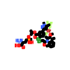 CC(C)OC(=O)c1cc(-c2nn(C)c(C(F)(F)F)c2Br)c(F)cc1Cl.CCc1cccc(C)c1N(C(=O)CCl)C(C)COC.CP(=O)(O)CCC(N)C(=O)O